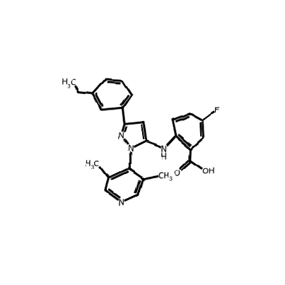 CCc1cccc(-c2cc(Nc3ccc(F)cc3C(=O)O)n(-c3c(C)cncc3C)n2)c1